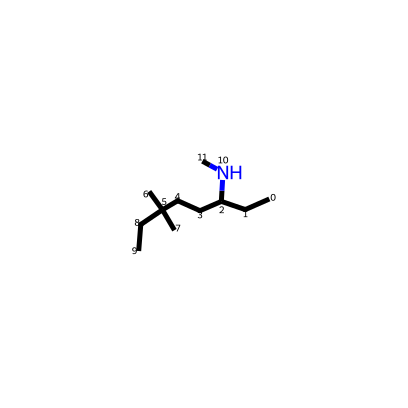 CCC(CCC(C)(C)CC)NC